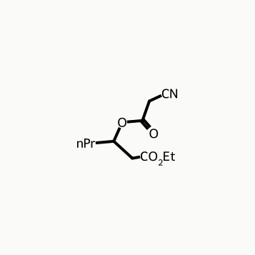 CCCC(CC(=O)OCC)OC(=O)CC#N